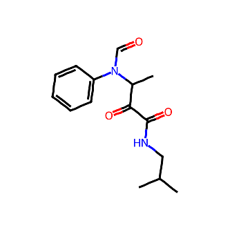 CC(C)CNC(=O)C(=O)C(C)N(C=O)c1ccccc1